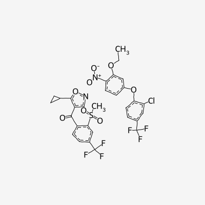 CCOc1cc(Oc2ccc(C(F)(F)F)cc2Cl)ccc1[N+](=O)[O-].CS(=O)(=O)c1cc(C(F)(F)F)ccc1C(=O)c1cnoc1C1CC1